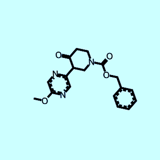 COc1cnc(C2CN(C(=O)OCc3ccccc3)CCC2=O)cn1